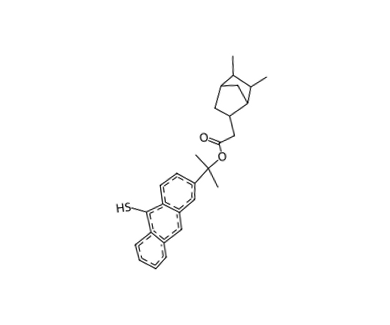 CC1C2CC(CC(=O)OC(C)(C)c3ccc4c(S)c5ccccc5cc4c3)C(C2)C1C